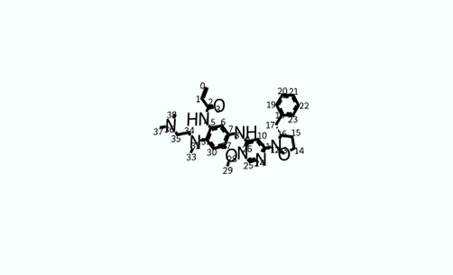 C=CC(=O)Nc1cc(Nc2cc(N3OCC[C@H]3Cc3ccccc3)ncn2)c(OC)cc1N(C)CCN(C)C